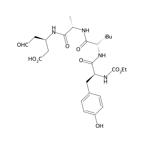 CCOC(=O)N[C@@H](Cc1ccc(O)cc1)C(=O)N[C@H](C(=O)N[C@@H](C)C(=O)N[C@H](CC=O)CC(=O)O)[C@@H](C)CC